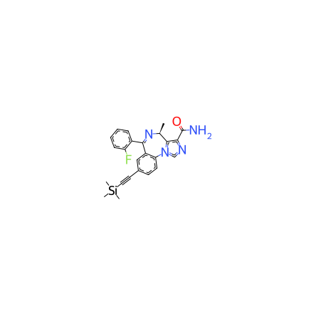 C[C@@H]1N=C(c2ccccc2F)c2cc(C#C[Si](C)(C)C)ccc2-n2cnc(C(N)=O)c21